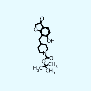 CC(C)(C)OC(=O)N1CCC(Cc2c(O)ccc3c2OCC3=O)CC1